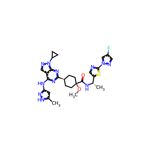 CO[C@]1(C(=O)N[C@@H](C)c2cnc(-n3cc(F)cn3)s2)CC[C@H](c2nc(Nc3cc(C)[nH]n3)c3cnn(C4CC4)c3n2)CC1